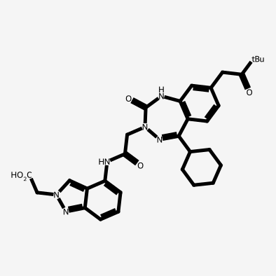 CC(C)(C)C(=O)Cc1ccc2c(c1)NC(=O)N(CC(=O)Nc1cccc3nn(CC(=O)O)cc13)N=C2C1CCCCC1